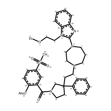 CCOCCn1c(N2CCCN(CCC3(c4ccccc4)CCN(C(=O)c4cc(S(C)(=O)=O)ccc4OC)C3)CC2)nc2ccccc21